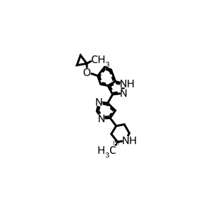 C[C@H]1CC(c2cc(-c3n[nH]c4ccc(OC5(C)CC5)cc34)ncn2)CCN1